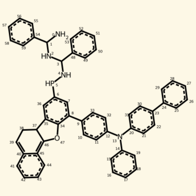 NC(NC(NPc1cc(-c2ccc(N(c3ccccc3)c3ccc(-c4ccccc4)cc3)cc2)c2c(c1)C1CC=c3ccccc3=C1O2)c1ccccc1)c1ccccc1